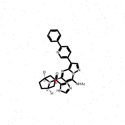 CC(=O)Nc1cc([C@H]2C[C@H]3CC[C@@H](C2)N3C(=O)c2nnc[nH]2)nc2c(-c3ccc(-c4ccccc4)nc3)cnn12